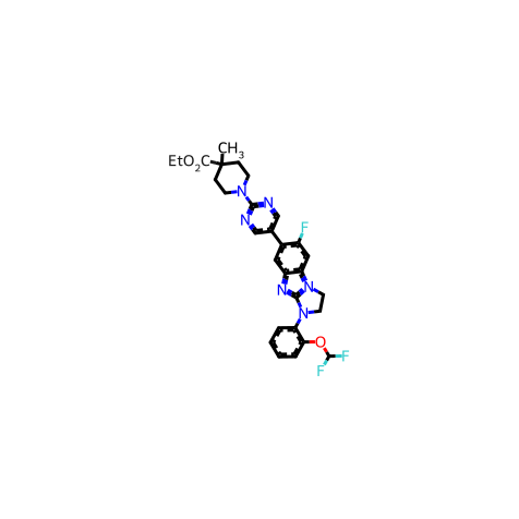 CCOC(=O)C1(C)CCN(c2ncc(-c3cc4nc5n(c4cc3F)CCN5c3ccccc3OC(F)F)cn2)CC1